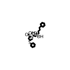 O=C(O)[C@@H]1C[C@H](Sc2ccccc2)CN1C(=O)CP(=O)(O)CCCCc1ccccc1